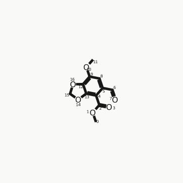 COC(=O)c1c(C=O)cc(OC)c2c1OCO2